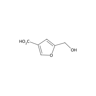 O=C(O)c1coc(CO)c1